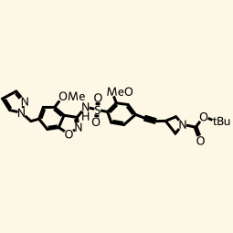 COc1cc(C#CC2CN(C(=O)OC(C)(C)C)C2)ccc1S(=O)(=O)Nc1noc2cc(Cn3cccn3)cc(OC)c12